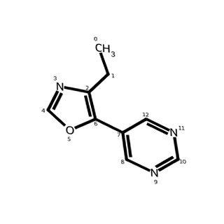 CCc1ncoc1-c1cncnc1